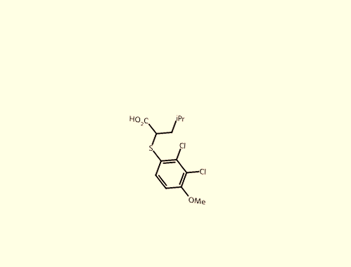 COc1ccc(SC(CC(C)C)C(=O)O)c(Cl)c1Cl